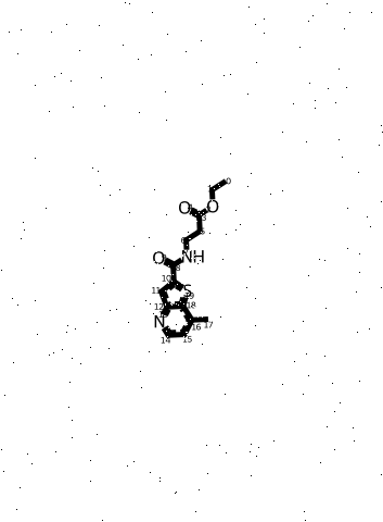 CCOC(=O)CCNC(=O)c1cc2nccc(C)c2s1